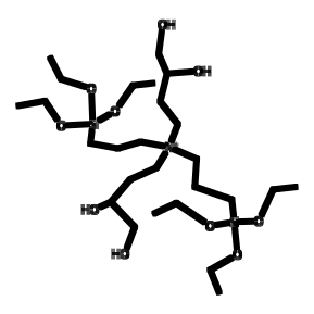 CCO[Si](CCC[N+](CCC[Si](OCC)(OCC)OCC)(CCC(O)CO)CCC(O)CO)(OCC)OCC